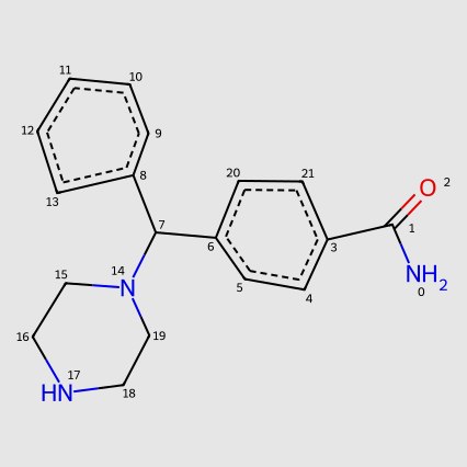 NC(=O)c1ccc(C(c2ccccc2)N2CCNCC2)cc1